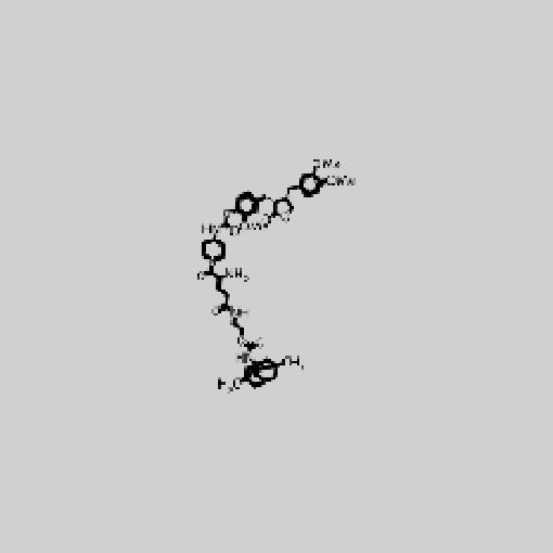 COc1ccc(C[C@H]2COC(=O)[C@@H]2Cc2ccc(OC(=O)NC3CCN(C(=O)[C@@H](N)CCC(=O)NCCOC(=O)NC45CC6CC(C)(CC(C)(C6)C4)C5)CC3)c(OC)c2)cc1OC